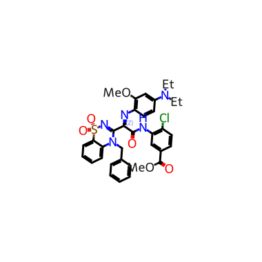 CCN(CC)c1ccc(/N=C(\C(=O)Nc2cc(C(=O)OC)ccc2Cl)C2=NS(=O)(=O)c3ccccc3N2Cc2ccccc2)c(OC)c1